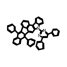 c1ccc(-c2cc(-c3ccccc3)nc(-n3c4ccccc4c4c5cccc6c5c(cc43)-c3c-6c(-c4ccccc4)c4ccccc4c3-c3ccccc3)n2)cc1